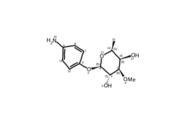 CO[C@H]1[C@H](O)[C@@H](Oc2ccc(N)cc2)O[C@@H](C)[C@H]1O